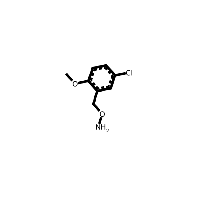 COc1ccc(Cl)cc1CON